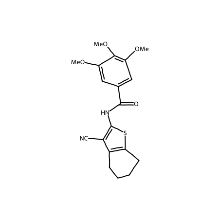 COc1cc(C(=O)Nc2sc3c(c2C#N)CCCC3)cc(OC)c1OC